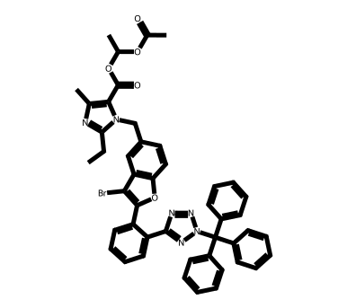 CCc1nc(C)c(C(=O)OC(C)OC(C)=O)n1Cc1ccc2oc(-c3ccccc3-c3nnn(C(c4ccccc4)(c4ccccc4)c4ccccc4)n3)c(Br)c2c1